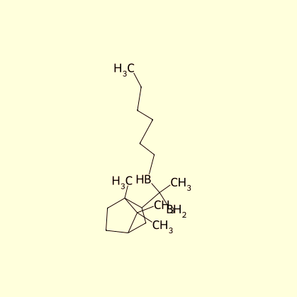 BC(C)(BCCCCCC)C1CC2CCC1(C)C2(C)C